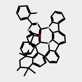 CC1CC(C)(C)c2c(-c3ccccc3-n3c4ccccc4c4ccc5c6ccccc6n(-c6nc(-c7ccccc7)nc(-c7ccccc7F)n6)c5c43)cccc2C1(C)C